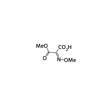 CO/N=C(\C(=O)O)C(=O)OC